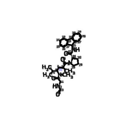 C/C(=C\[C@H](C(C)C)N(C)C(=O)CNC=O)C(=O)N1CCC[C@H]1C(=O)NC1c2ccccc2-c2ccccc21